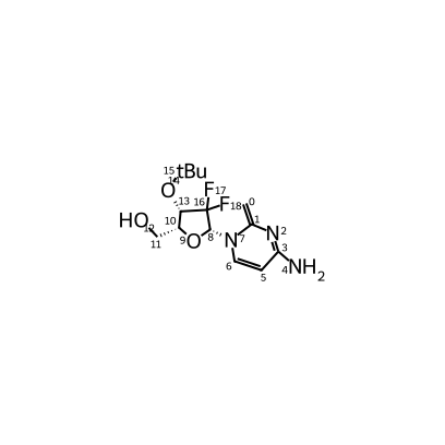 C=C1N=C(N)C=CN1[C@@H]1O[C@H](CO)[C@H](OC(C)(C)C)C1(F)F